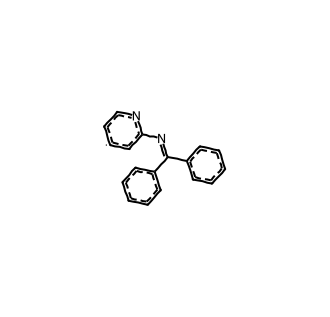 [c]1ccnc(N=C(c2ccccc2)c2ccccc2)c1